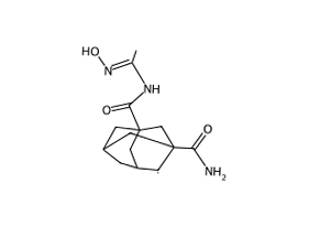 CC(=NO)NC(=O)C12CC3[CH]C(C(N)=O)(CC(C3)C1)C2